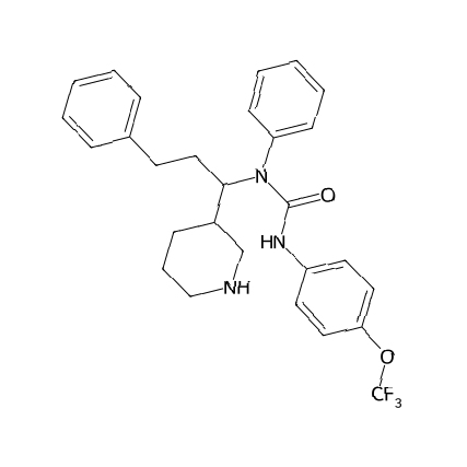 O=C(Nc1ccc(OC(F)(F)F)cc1)N(c1ccccc1)C(CCc1ccccc1)C1CCCNC1